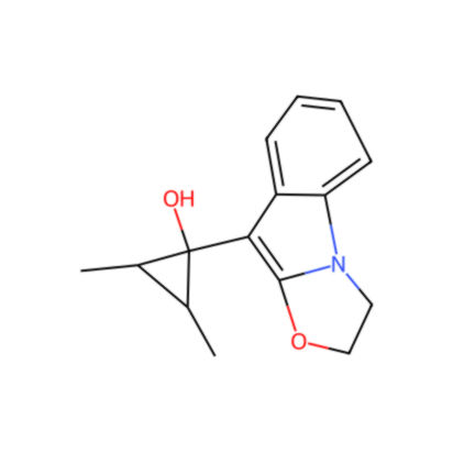 CC1C(C)C1(O)c1c2n(c3ccccc13)CCO2